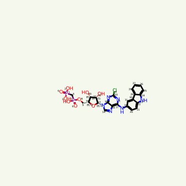 O=P(O)(O)CP(=O)(O)OC[C@H]1O[C@@H](n2cnc3c(Nc4ccc5[nH]c6ccccc6c5c4)nc(Cl)nc32)[C@@H](O)[C@H]1O